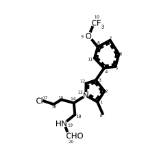 Cc1cc(-c2cccc(OC(F)(F)F)c2)cn1C(CCCl)CNC=O